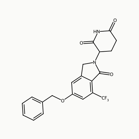 O=C1CCC(N2Cc3cc(OCc4ccccc4)cc(C(F)(F)F)c3C2=O)C(=O)N1